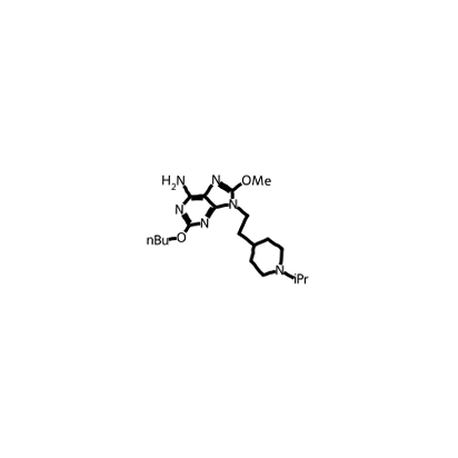 CCCCOc1nc(N)c2nc(OC)n(CCC3CCN(C(C)C)CC3)c2n1